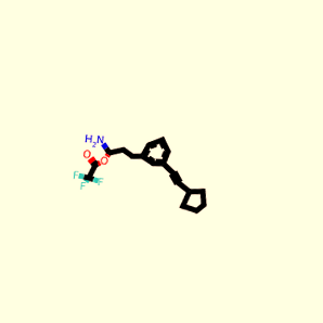 NC(CCc1cccc(C#CC2CCCC2)c1)OC(=O)C(F)(F)F